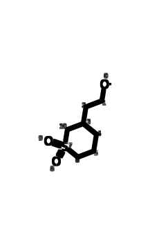 [O]CCC1CCCS(=O)(=O)C1